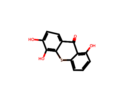 O=c1c2ccc(O)c(O)c2sc2cccc(O)c12